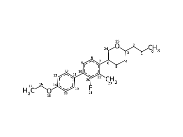 CCCC1CCC(c2ccc(-c3ccc(OCC)cc3)c(F)c2C)CO1